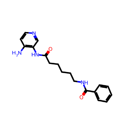 Nc1ccncc1NC(=O)CCCCCNC(=O)c1ccccc1